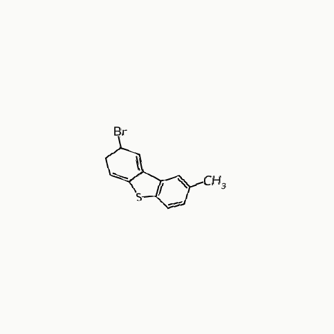 Cc1ccc2sc3c(c2c1)=CC(Br)CC=3